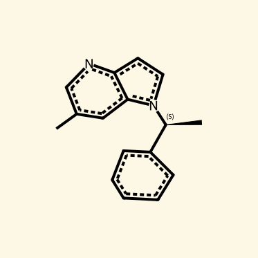 Cc1cnc2ccn([C@@H](C)c3ccccc3)c2c1